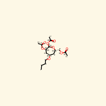 CCCCO[C@@H]1C[C@@H](COC(C)=O)OC(OC(C)=O)[C@H](OC(C)=O)C1